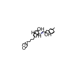 Cc1cccc(C[C@@H](O)/C=C/[C@@H]2[C@H]3CC(CCCCN4CCOCC4)=C[C@H]3C[C@H]2O)c1